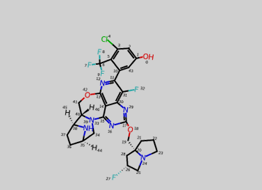 Oc1cc(Cl)c(C(F)(F)F)c(-c2nc3c4c(nc(OC[C@]56CCCN5C[C@H](F)C6)nc4c2F)N2C[C@H]4CC[C@H](N4)[C@@H]2CO3)c1